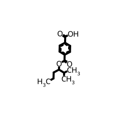 CCCC(OC(=O)c1ccc(C(=O)O)cc1)C(C)C